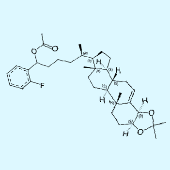 CC(=O)OC(CCC[C@@H](C)[C@H]1CC[C@H]2[C@@H]3CC=C4[C@H]5OC(C)(C)O[C@H]5CC[C@]4(C)[C@H]3CC[C@]12C)c1ccccc1F